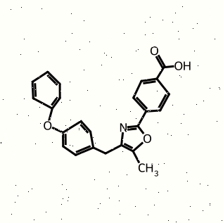 Cc1oc(-c2ccc(C(=O)O)cc2)nc1Cc1ccc(Oc2ccccc2)cc1